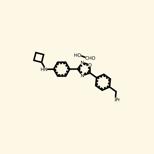 CC(C)Cc1ccc(-c2nc(-c3ccc(NC4CCC4)cc3)no2)cc1.O=CO